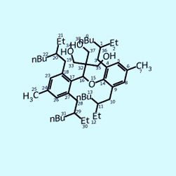 CCCCC(CC)Cc1cc(C)cc(CC(CC)CCCC)c1OC(c1c(CC(CC)CCCC)cc(C)cc1CC(CC)CCCC)C(CO)(CO)CO